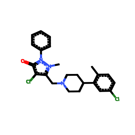 Cc1ccc(Cl)cc1C1CCN(Cc2c(Cl)c(=O)n(-c3ccccc3)n2C)CC1